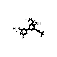 CC(C)(C)C#Cc1cc(-c2cc(N)nc(F)c2)cc2c(N)n[nH]c12